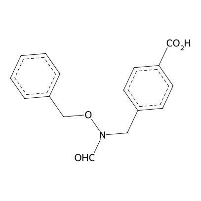 O=CN(Cc1ccc(C(=O)O)cc1)OCc1ccccc1